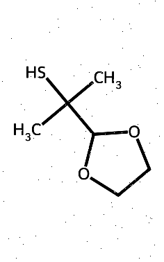 CC(C)(S)C1OCCO1